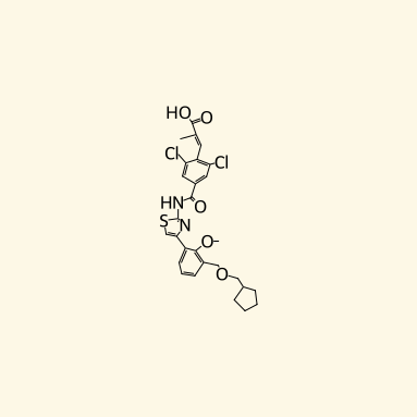 COc1c(COCC2CCCC2)cccc1-c1csc(NC(=O)c2cc(Cl)c(C=C(C)C(=O)O)c(Cl)c2)n1